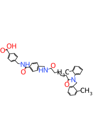 Cc1ccccc1CN(C(=O)CCCCC(=O)NCc1ccc(C(=O)NCc2ccc(C(=O)O)cc2)cc1)c1ccccc1C